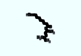 CCCCCCCCCCCCCCCCCC(=O)OC(N)CCN(C)C